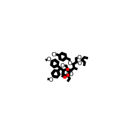 CCC1(CC)OCC(C(OCc2ccc(Cl)cc2)C(C)C2OC(CC)(CC)OC2COC(c2ccccc2)(c2ccc(OC)cc2)c2ccc(OC)cc2)O1